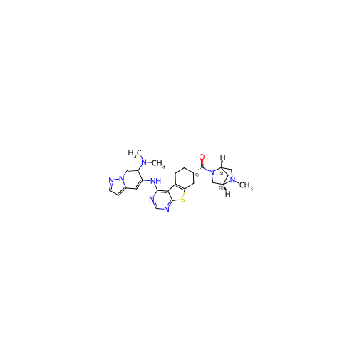 CN(C)c1cn2nccc2cc1Nc1ncnc2sc3c(c12)CC[C@H](C(=O)N1C[C@@H]2C[C@H]1CN2C)C3